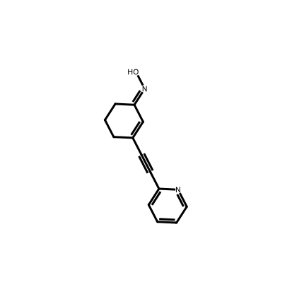 O/N=C1/C=C(C#Cc2ccccn2)CCC1